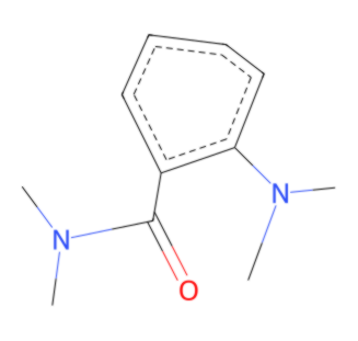 CN(C)C(=O)c1ccccc1N(C)C